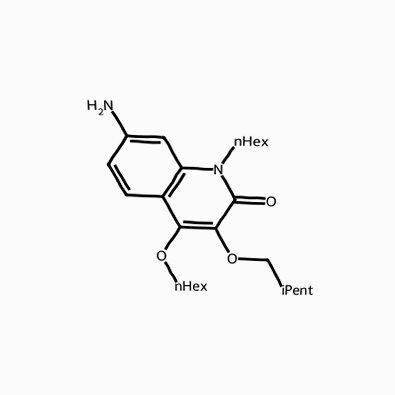 CCCCCCOc1c(OCC(C)CCC)c(=O)n(CCCCCC)c2cc(N)ccc12